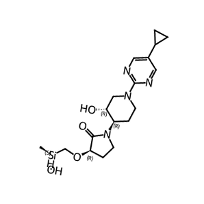 C[Si@H](O)CO[C@@H]1CCN([C@@H]2CCN(c3ncc(C4CC4)cn3)C[C@H]2O)C1=O